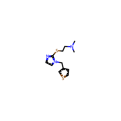 CN(C)CCSc1nccn1Cc1ccsc1